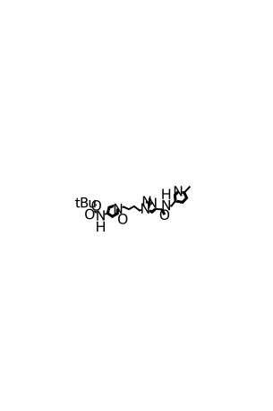 Cc1ccc(CNC(=O)c2cn(CCCCn3ccc(NC(=O)OC(C)(C)C)cc3=O)nn2)cn1